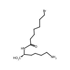 NCCCC[C@H](NC(=O)CCCCCCBr)C(=O)O